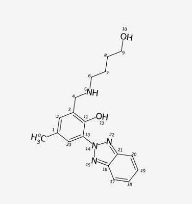 Cc1cc(CNCCCCO)c(O)c(-n2nc3ccccc3n2)c1